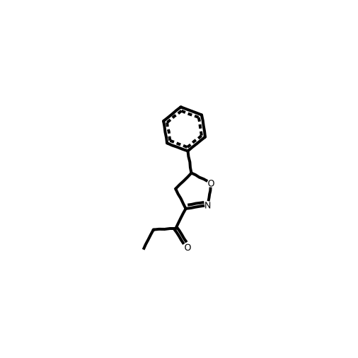 CCC(=O)C1=NOC(c2ccccc2)C1